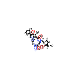 C/C=C(Br)\C=C/CCN1CC(=O)NCCN(Cc2c(CC)oc3ccccc23)CCC1=O